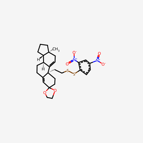 C[C@]12CC=C3[C@@H](CCC4=CC5(CC[C@@]43CCSSc3ccc([N+](=O)[O-])cc3[N+](=O)[O-])OCCO5)[C@@H]1CCC2